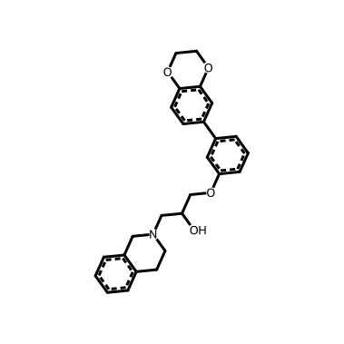 OC(COc1cccc(-c2ccc3c(c2)OCCO3)c1)CN1CCc2ccccc2C1